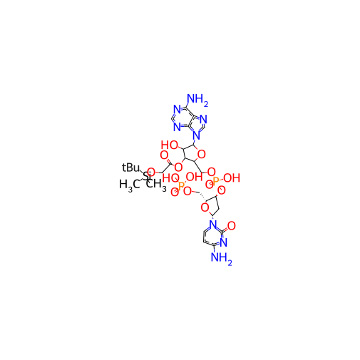 CC(C)(C)[Si](C)(C)OCC(=O)OC1C(COP(=O)(O)O[C@H]2C[C@H](n3ccc(N)nc3=O)O[C@@H]2COP(=O)(O)O)OC(n2cnc3c(N)ncnc32)C1O